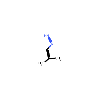 CC(C)=CN=N